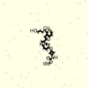 CN(CCCO)c1nccc2oc(-c3cnc4ccc(O[C@H]5C[C@H](NC(=O)OC(C)(C)C)C5)nn34)cc12